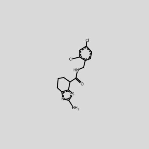 Nc1nc2c(s1)C(C(=O)NCc1ccc(Cl)cc1Cl)CCC2